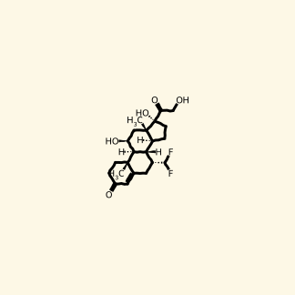 C[C@]12CCC(=O)C=C1C[C@@H]([C](F)F)[C@@H]1[C@@H]2[C@@H](O)C[C@@]2(C)[C@H]1CC[C@]2(O)C(=O)CO